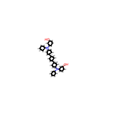 Oc1cccc(N(c2ccccc2)c2ccc(-c3ccc(-c4ccc(N(c5ccccc5)c5cccc(O)c5)cc4)cc3)cc2)c1